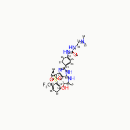 C[C@@H](CO)N[C@@H]1C=C(C2(S(=O)(=O)C3=CCCC=C3C(F)(F)F)CC2)N=C(C2=CC=C(NC(=O)NCCN(C)C)CC2)N1